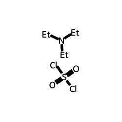 CCN(CC)CC.O=S(=O)(Cl)Cl